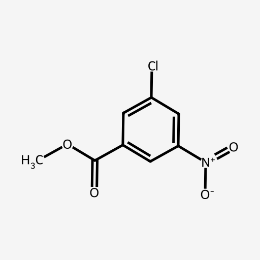 COC(=O)c1cc(Cl)cc([N+](=O)[O-])c1